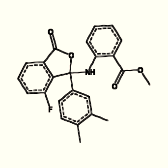 COC(=O)c1ccccc1NC1(c2ccc(C)c(C)c2)OC(=O)c2cccc(F)c21